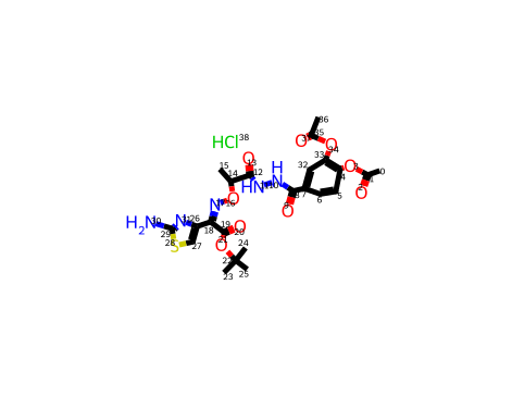 CC(=O)Oc1ccc(C(=O)NNC(=O)C(C)ON=C(C(=O)OC(C)(C)C)c2csc(N)n2)cc1OC(C)=O.Cl